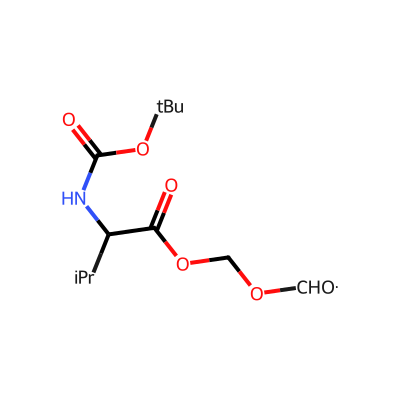 CC(C)C(NC(=O)OC(C)(C)C)C(=O)OCO[C]=O